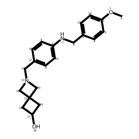 COc1ccc(CNc2ccc(CN3CC4(CC(O)C4)C3)cc2)cc1